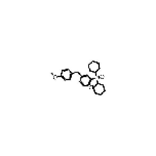 COc1ccc(Cc2ccc(Cl)c(P(=O)(C3CCCCC3)C3CCCCC3)c2)cc1